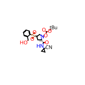 CC(C)(C)OC(=O)ON1C[C@H](S(=O)(=O)c2ccccc2CO)C[C@H]1C(=O)NC1(C#N)CC1